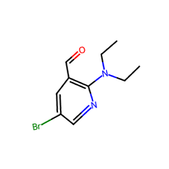 CCN(CC)c1ncc(Br)cc1C=O